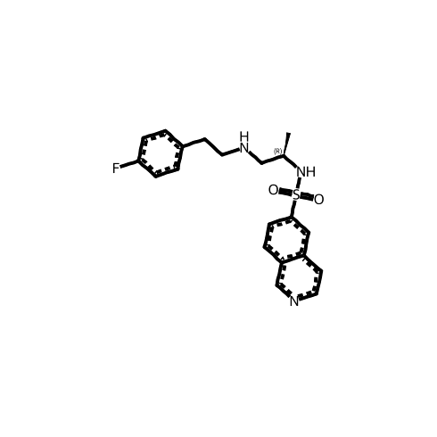 C[C@H](CNCCc1ccc(F)cc1)NS(=O)(=O)c1ccc2cnccc2c1